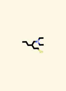 CCCC(CCS)CN(CC)CC